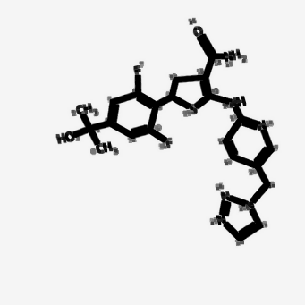 CC(C)(O)c1cc(F)c(C2CC(C(N)=O)=C(Nc3ccc(Cn4ccnn4)cn3)S2)c(F)c1